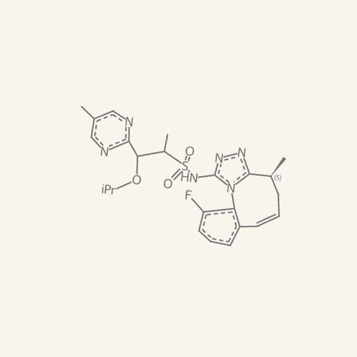 Cc1cnc(C(OC(C)C)C(C)S(=O)(=O)Nc2nnc3n2-c2c(F)cccc2C=CC[C@@H]3C)nc1